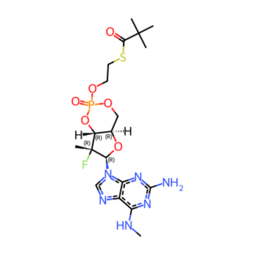 CNc1nc(N)nc2c1ncn2[C@@H]1O[C@@H]2COP(=O)(OCCSC(=O)C(C)(C)C)O[C@H]2[C@@]1(C)F